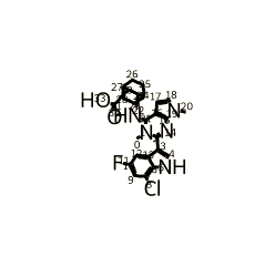 CN1C(c2c[nH]c3c(Cl)cc(F)cc23)=Nc2c(ccn2C)C1NC1C2CCC(CC2)C1C(=O)O